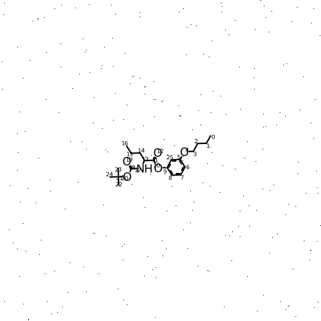 CCCCOc1cccc(OC(=O)C(CCC)NC(=O)OC(C)(C)C)c1